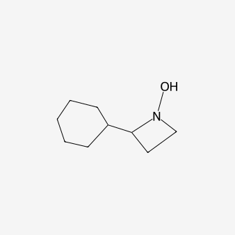 ON1CCC1C1CCCCC1